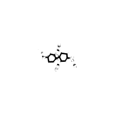 O=C=NC1CCC(N=C=O)(C2(N=C=O)CCC(N=C=O)CC2)CC1